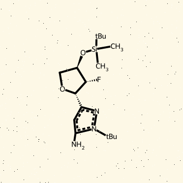 CC(C)(C)n1nc([C@@H]2OC[C@@H](O[Si](C)(C)C(C)(C)C)[C@@H]2F)cc1N